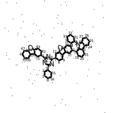 c1ccc(-c2nc(-c3ccc4c(c3)oc3ccc(-c5cccc6c7ccccc7n(-c7ccccc7)c56)cc34)nc(-c3ccc4oc5ccccc5c4c3)n2)cc1